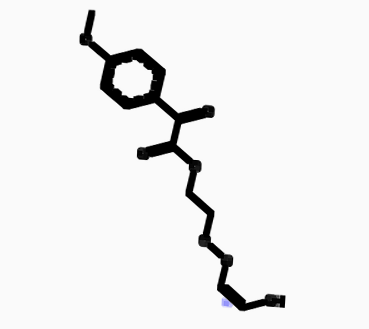 COc1ccc(C(=O)C(=O)OCCOO/C=C\O)cc1